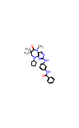 CN1C(=O)C(C)(C)CN(C2CCCC2)c2nc(Nc3cccc(NC(=O)c4ccccc4)c3)ncc21